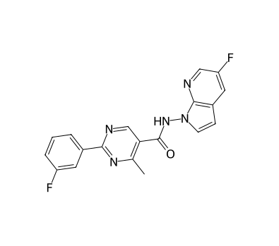 Cc1nc(-c2cccc(F)c2)ncc1C(=O)Nn1ccc2cc(F)cnc21